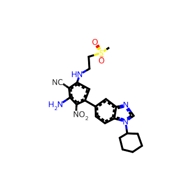 CS(=O)(=O)CCNc1cc(-c2ccc3c(c2)ncn3C2CCCCC2)c([N+](=O)[O-])c(N)c1C#N